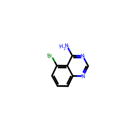 Nc1ncnc2cccc(Br)c12